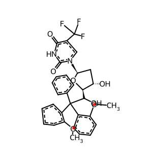 COc1ccccc1C(c1ccccc1)(c1ccccc1OC)C(O)[C@H]1O[C@@H](n2cc(C(F)(F)F)c(=O)[nH]c2=O)C[C@@H]1O